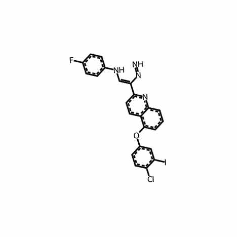 N=N/C(=C\Nc1ccc(F)cc1)c1ccc2c(Oc3ccc(Cl)c(I)c3)cccc2n1